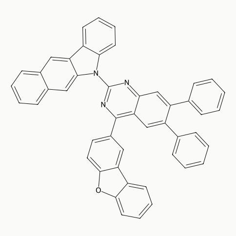 c1ccc(-c2cc3nc(-n4c5ccccc5c5cc6ccccc6cc54)nc(-c4ccc5oc6ccccc6c5c4)c3cc2-c2ccccc2)cc1